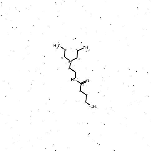 CCCCC(=O)NCCN(CCC)CCC